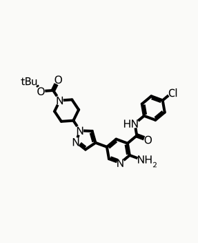 CC(C)(C)OC(=O)N1CCC(n2cc(-c3cnc(N)c(C(=O)Nc4ccc(Cl)cc4)c3)cn2)CC1